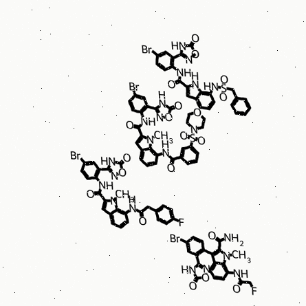 Cn1c(C(=O)Nc2ccc(Br)cc2-c2noc(=O)[nH]2)cc2cccc(NC(=O)Cc3ccc(F)cc3)c21.Cn1c(C(=O)Nc2ccc(Br)cc2-c2noc(=O)[nH]2)cc2cccc(NC(=O)c3cccc(S(=O)(=O)N4CCOCC4)c3)c21.Cn1c(C(N)=O)c(-c2ccc(Br)cc2-c2noc(=O)[nH]2)c2cccc(NC(=O)CF)c21.O=C(Nc1ccc(Br)cc1-c1noc(=O)[nH]1)c1cc2cccc(NS(=O)(=O)Cc3ccccc3)c2[nH]1